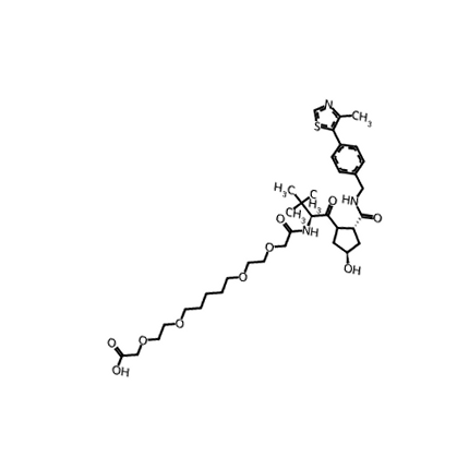 Cc1ncsc1-c1ccc(CNC(=O)[C@@H]2C[C@@H](O)CC2C(=O)[C@@H](NC(=O)COCCOCCCCCOCCOCC(=O)O)C(C)(C)C)cc1